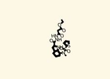 CCOC(=O)CC(=O)NNC(=O)c1cc2cccc(N(C)S(=O)(=O)c3cccs3)c2[nH]1